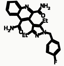 CCc1nn(Cc2ccc(F)cc2)c(CC)c1-c1c(C(N)=O)nc2ccccc2c1C(N)=O